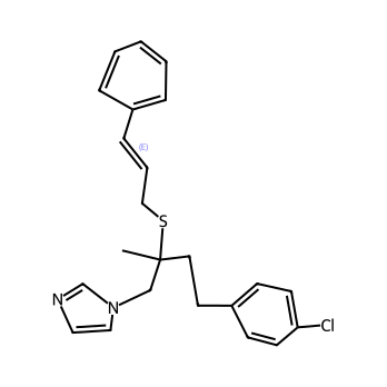 CC(CCc1ccc(Cl)cc1)(Cn1ccnc1)SC/C=C/c1ccccc1